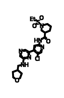 CCS(=O)(=O)N1CCCC(C(=O)Nc2cc(-c3cncc(NCC4CCOCC4)n3)c(Cl)cn2)C1